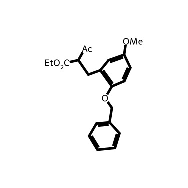 CCOC(=O)C(Cc1cc(OC)ccc1OCc1ccccc1)C(C)=O